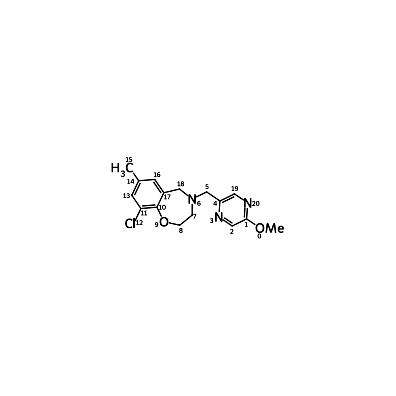 COc1cnc(CN2CCOc3c(Cl)cc(C)cc3C2)cn1